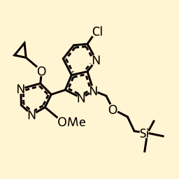 COc1ncnc(OC2CC2)c1-c1nn(COCC[Si](C)(C)C)c2nc(Cl)ccc12